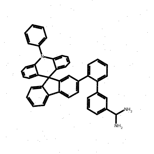 NC(N)c1cccc(-c2ccccc2-c2ccc3c(c2)C2(c4ccccc4-3)c3ccccc3N(c3ccccc3)c3ccccc32)c1